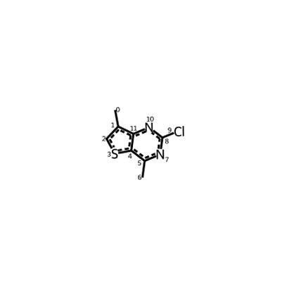 Cc1csc2c(C)nc(Cl)nc12